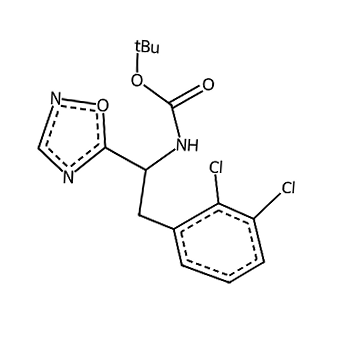 CC(C)(C)OC(=O)NC(Cc1cccc(Cl)c1Cl)c1ncno1